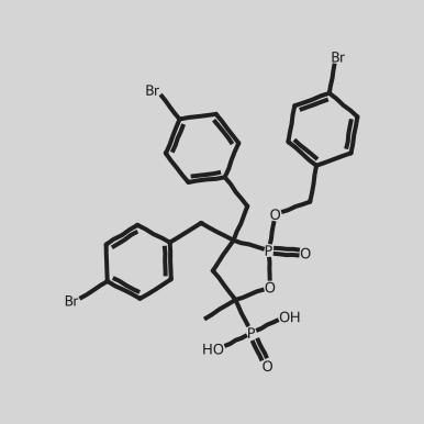 CC1(P(=O)(O)O)CC(Cc2ccc(Br)cc2)(Cc2ccc(Br)cc2)P(=O)(OCc2ccc(Br)cc2)O1